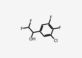 OC(c1cc(F)c(F)c(Cl)c1)C(F)F